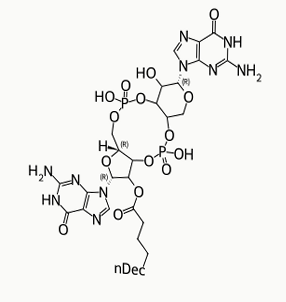 CCCCCCCCCCCCCC(=O)OC1C2OP(=O)(O)OC3CO[C@@H](n4cnc5c(=O)[nH]c(N)nc54)C(O)C3OP(=O)(O)OC[C@H]2O[C@H]1n1cnc2c(=O)[nH]c(N)nc21